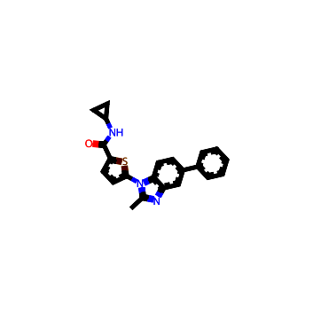 Cc1nc2cc(-c3ccccc3)ccc2n1-c1ccc(C(=O)NC2CC2)s1